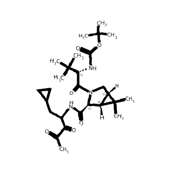 CC(=O)C(=O)C(CC1CC1)NC(=O)[C@@H]1[C@@H]2[C@H](CN1C(=O)[C@@H](NC(=O)OC(C)(C)C)C(C)(C)C)C2(C)C